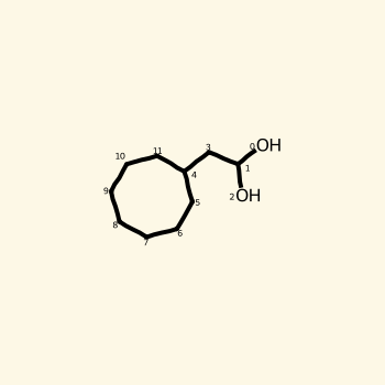 OC(O)CC1CCCCCCC1